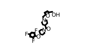 O=C(C1CCN(Cc2ccc(CO)o2)CC1)N1CCC(Oc2c(F)cc(F)cc2F)CC1